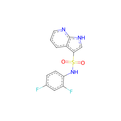 O=S(=O)(Nc1ccc(F)cc1F)c1c[nH]c2ncccc12